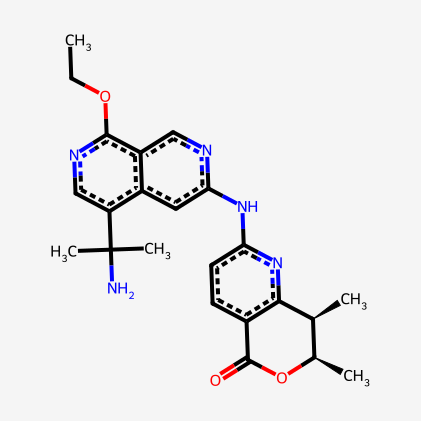 CCOc1ncc(C(C)(C)N)c2cc(Nc3ccc4c(n3)[C@@H](C)[C@@H](C)OC4=O)ncc12